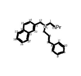 CC(C)CN(CCCc1ccccc1)Cc1ccc2ccccc2c1